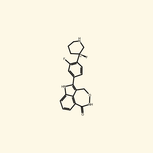 O=C1NOCc2c(-c3ccc([C@]4(F)CCCNC4)c(F)c3)[nH]c3cccc1c23